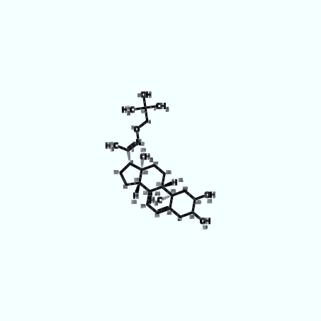 CC(=NOCC(C)(C)O)[C@H]1CC[C@H]2C3=CC=C4CC(O)C(O)C[C@]4(C)[C@H]3CC[C@]12C